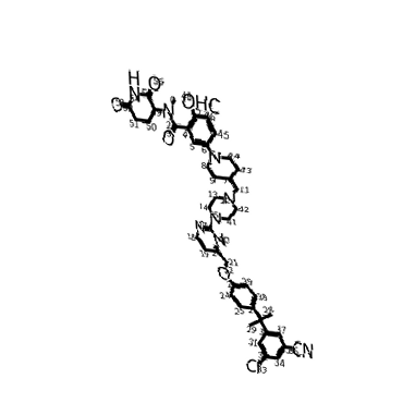 CN(C(=O)c1cc(N2CCC(CN3CCN(c4nccc(COc5ccc(C(C)(C)c6cc(Cl)cc(C#N)c6)cc5)n4)CC3)CC2)ccc1C=O)C1CCC(=O)NC1=O